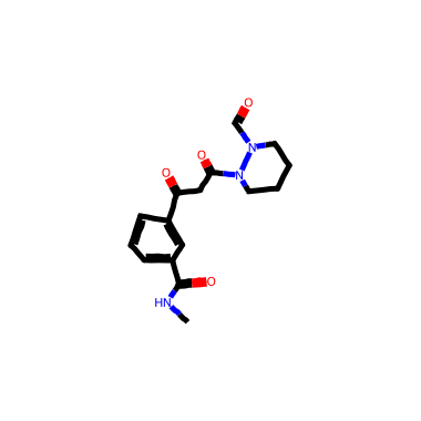 CNC(=O)c1cccc(C(=O)CC(=O)N2CCCCN2C=O)c1